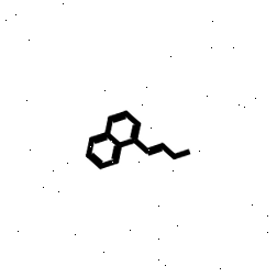 CC/C=C/c1cccc2ccccc12